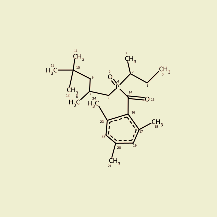 CCC(C)P(=O)(CC(C)CC(C)(C)C)C(=O)c1c(C)cc(C)cc1C